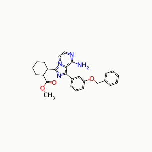 COC(=O)C1CCCCC1c1nc(-c2cccc(OCc3ccccc3)c2)c2c(N)nccn12